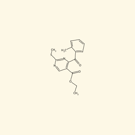 CCOC(=O)c1cnc(SC)nc1C(=O)c1ccccc1C